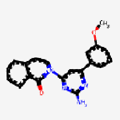 COc1cccc(-c2cc(-n3ccc4ccccc4c3=O)nc(N)n2)c1